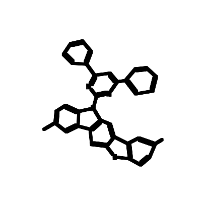 Cc1ccc2sc3cc4c5cc(C)ccc5n(-c5nc(-c6ccccc6)cc(-c6ccccc6)n5)c4cc3c2c1